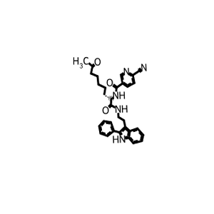 CC(=O)CCCCC[C@H](NC(=O)c1ccc(C#N)nc1)C(=O)NCCc1c(-c2ccccc2)[nH]c2ccccc12